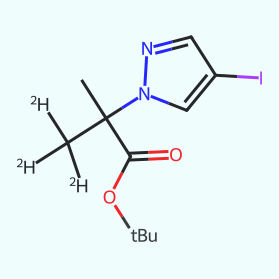 [2H]C([2H])([2H])C(C)(C(=O)OC(C)(C)C)n1cc(I)cn1